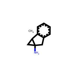 C.NC12Cc3ccccc3C1C2